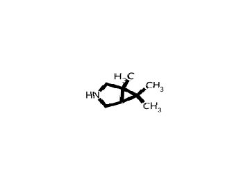 CC1(C)C2CNCC21C